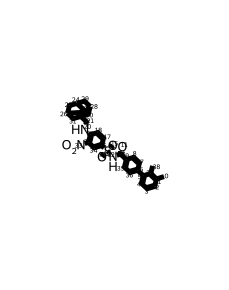 Cc1cccc(-c2ccc(C(=O)NS(=O)(=O)c3ccc(NCC45CC6CC(CC(C6)C4)C5)c([N+](=O)[O-])c3)cc2)c1C